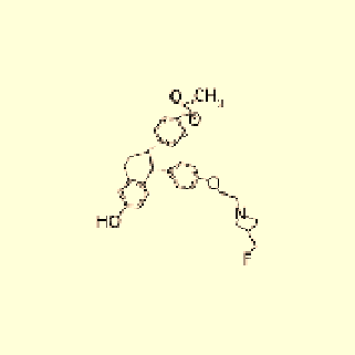 CS(=O)(=O)c1ccc([C@H]2CCc3cc(O)ccc3[C@H]2c2ccc(OCCN3CC(CF)C3)cc2)cc1